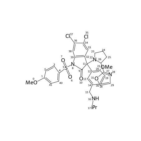 COc1ccc(S(=O)(=O)N2C(=O)C(c3cc(CNC(C)C)ccc3OC)(N3CCCC3c3ncco3)c3cc(Cl)c(Cl)cc32)cc1